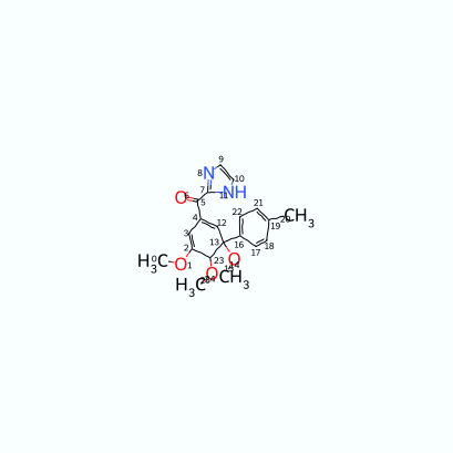 COC1=CC(C(=O)c2ncc[nH]2)=CC(OC)(c2ccc(C)cc2)C1OC